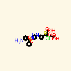 Nc1cccc(C(c2ccccc2)S(=O)(=O)N2CCC(Nc3cccc(-c4sc(C(=O)O)c(OCC(=O)O)c4Cl)c3)CC2)c1